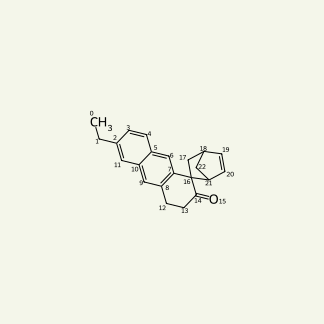 CCc1ccc2cc3c(cc2c1)CCC(=O)C31CC2C=CC1C2